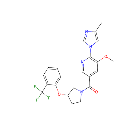 COc1cc(C(=O)N2CC[C@H](Oc3ccccc3C(F)(F)F)C2)cnc1-n1cnc(C)c1